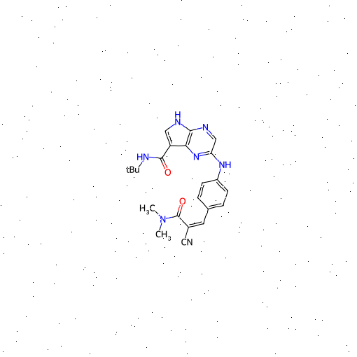 CN(C)C(=O)C(C#N)=Cc1ccc(Nc2cnc3[nH]cc(C(=O)NC(C)(C)C)c3n2)cc1